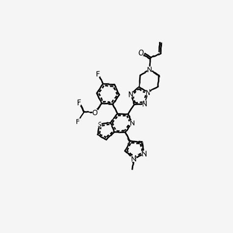 C=CC(=O)N1CCn2nc(-c3nc(-c4cnn(C)c4)c4ccsc4c3-c3ccc(F)cc3OC(F)F)nc2C1